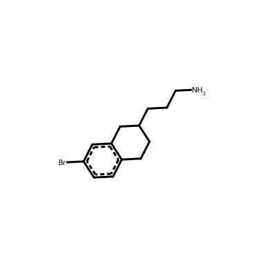 NCCCC1CCc2ccc(Br)cc2C1